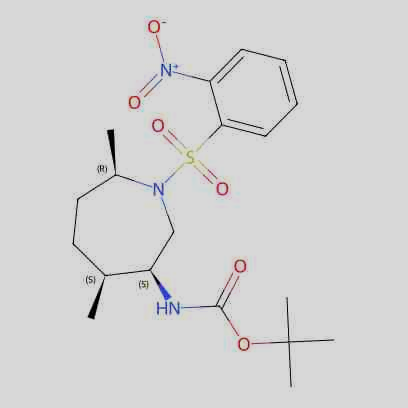 C[C@@H]1CC[C@H](C)[C@H](NC(=O)OC(C)(C)C)CN1S(=O)(=O)c1ccccc1[N+](=O)[O-]